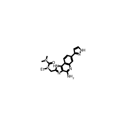 CCN(Cc1nc2c(N)nc3cc(-c4cc[nH]n4)ccc3c2[nH]1)C(=O)N(C)C